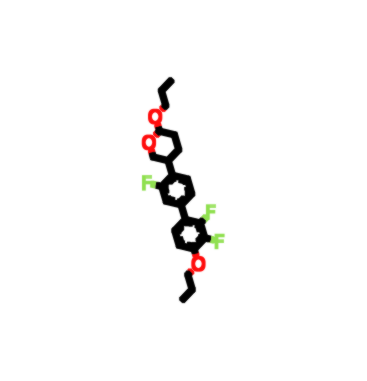 CCCOc1ccc(-c2ccc(C3CCC(OCCC)OC3)c(F)c2)c(F)c1F